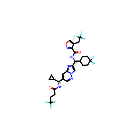 O=C(CCC(F)(F)F)N[C@@H](c1cnn2cc([C@@H](NC(=O)c3nocc3CC(F)(F)F)C3CCC(F)(F)CC3)nc2c1)C1CC1